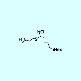 CCCCCCCCCCC(C)SCCN.Cl